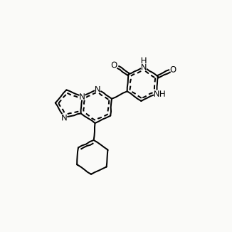 O=c1[nH]cc(-c2cc(C3=CCCCC3)c3nccn3n2)c(=O)[nH]1